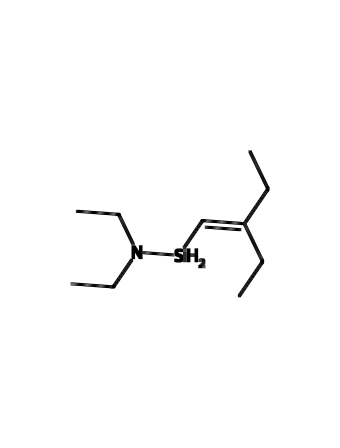 CCC(=C[SiH2]N(CC)CC)CC